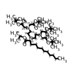 CCCCCCCCCCC(C(=O)OC(C)C)N(CCN(CC(=O)OC(C)(C)C)CC(=O)OC(C)(C)C)CCN(CC(=O)OC(C)(C)C)CC(=O)OC(C)(C)C